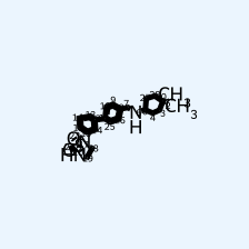 CC1(C)CCC(NCc2ccc(-c3cccc(N4CCNS4(=O)=O)c3)cc2)CC1